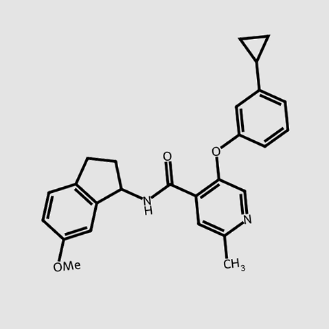 COc1ccc2c(c1)C(NC(=O)c1cc(C)ncc1Oc1cccc(C3CC3)c1)CC2